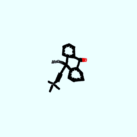 COC1(C#C[Si](C)(C)C)c2ccccc2C(=O)c2ccccc21